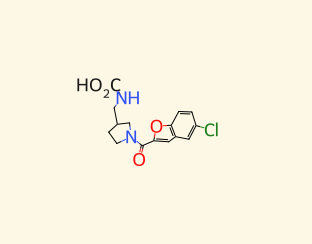 O=C(O)NCC1CCN(C(=O)c2cc3cc(Cl)ccc3o2)C1